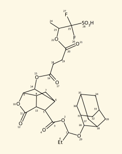 CCC(OC(=O)C1C2CC3C(OC(=O)C31)C2OC(=O)CCC(=O)OC(C)C(F)(F)S(=O)(=O)O)OC1C2CC3CC(C2)CC1C3